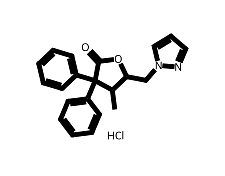 CC1C(Cn2cccn2)OC(=O)C1(c1ccccc1)c1ccccc1.Cl